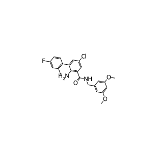 COc1cc(CNC(=O)c2cc(Cl)cc(-c3ccc(F)cc3C)c2N)cc(OC)c1